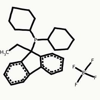 CCC1(P(C2CCCCC2)C2CCCCC2)c2ccccc2-c2ccccc21.F[B-](F)(F)F